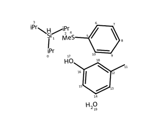 CC(C)[SiH](C(C)C)C(C)C.CSc1ccccc1.Cc1cccc(O)c1.O